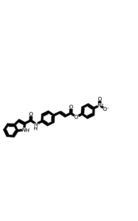 O=C(C=Cc1ccc(NC(=O)c2cc3ccccc3[nH]2)cc1)Oc1ccc([N+](=O)[O-])cc1